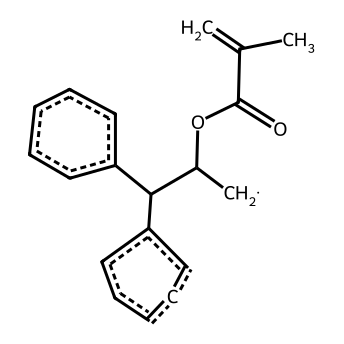 [CH2]C(OC(=O)C(=C)C)C(c1ccccc1)c1ccccc1